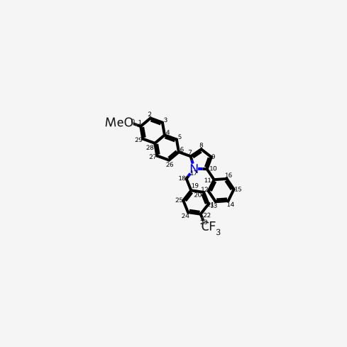 COc1ccc2cc(-c3ccc(-c4ccccc4)n3Cc3ccc(C(F)(F)F)cc3)ccc2c1